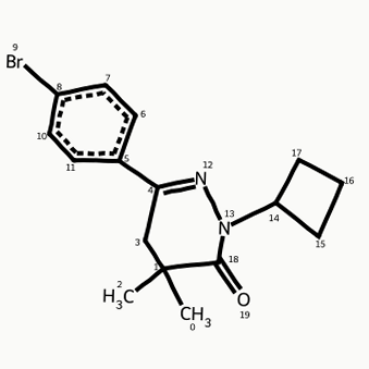 CC1(C)CC(c2ccc(Br)cc2)=NN(C2CCC2)C1=O